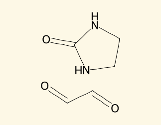 O=C1NCCN1.O=CC=O